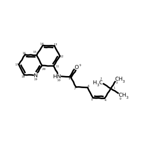 CC(C)(C)/C=C\CCC(=O)Nc1cccc2cccnc12